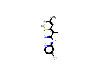 B/C(=C/C(SCC)=C(\C)C(=N)/N=c1/cc(C(F)(F)F)cc[nH]1)CC